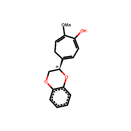 COC1=CCC([C@@H]2COc3ccccc3O2)=CC=C1O